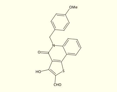 COc1ccc(Cn2c(=O)c3c(O)c(C=O)sc3c3ccccc32)cc1